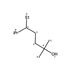 CCC(CCC(C)(C)O)C(C)C